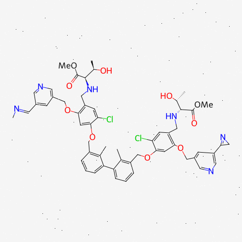 C/N=C/c1cncc(COc2cc(OCc3cccc(-c4cccc(COc5cc(OCc6cncc(C7=NC7)c6)c(CN[C@@H](C(=O)OC)[C@@H](C)O)cc5Cl)c4C)c3C)c(Cl)cc2CN[C@@H](C(=O)OC)[C@@H](C)O)c1